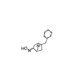 ON=C1CC2CCC1CN2Cc1ccccc1